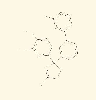 COc1ccc(C2(c3cccc(-c4cccc(Cl)c4)c3)COC(N)=N2)cc1C